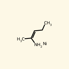 CCC=C(C)N.[Ni]